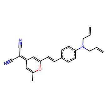 C=CCN(CC=C)c1ccc(/C=C/C2=CC(=C(C#N)C#N)C=C(C)O2)cc1